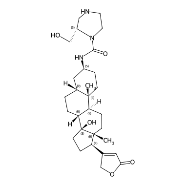 C[C@]12CC[C@H](NC(=O)N3CCNC[C@H]3CO)C[C@H]1CC[C@@H]1[C@@H]2CC[C@]2(C)[C@@H](C3=CC(=O)OC3)CC[C@]12O